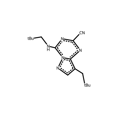 CC(C)(C)CNc1nc(C#N)nc2c(CC(C)(C)C)cnn12